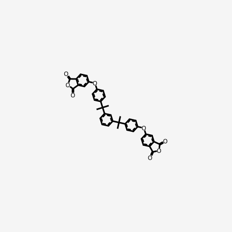 CC(C)(c1ccc(Oc2ccc3c(c2)C(=O)OC3=O)cc1)c1cccc(C(C)(C)c2ccc(Oc3ccc4c(c3)C(=O)OC4=O)cc2)c1